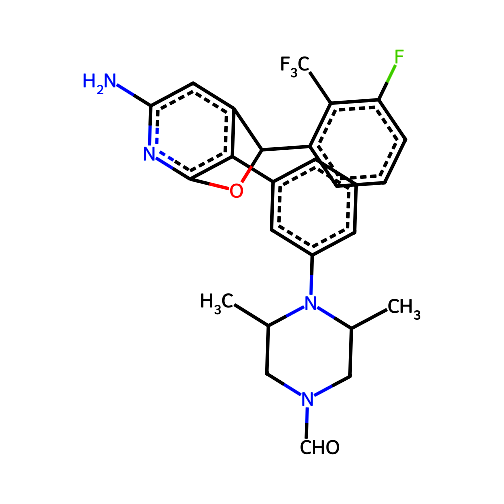 CC1CN(C=O)CC(C)N1c1cccc(-c2c3cc(N)nc2OC3c2cccc(F)c2C(F)(F)F)c1